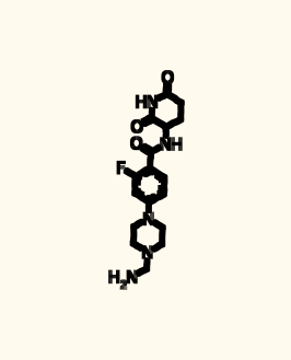 NCN1CCN(c2ccc(C(=O)NC3CCC(=O)NC3=O)c(F)c2)CC1